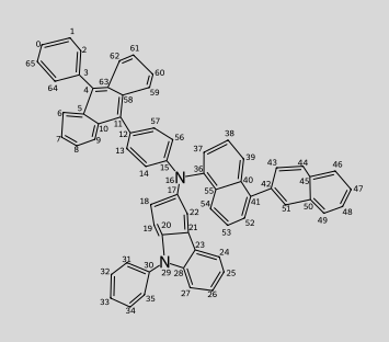 c1ccc(-c2c3ccccc3c(-c3ccc(N(c4ccc5c(c4)c4ccccc4n5-c4ccccc4)c4cccc5c(-c6ccc7ccccc7c6)cccc45)cc3)c3ccccc23)cc1